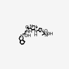 C=N/C(=C\C(=N/C)C(=O)NC[C@H](O)CN1CCc2ccccc2C1)NC1CCN(C(=O)/C(C)=N\O)C1